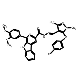 COc1ccc(-c2nc(C(=O)N/N=C/c3c(C)nn(C)c3Oc3ccc(Cl)cc3)cc3c2[nH]c2ccccc23)cc1OC